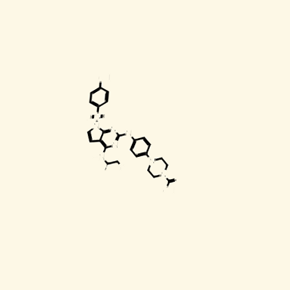 CC(=O)N1CCN(c2ccc(Nc3nc(N[C@H](C)CO)c4ccn(S(=O)(=O)c5ccc(C)cc5)c4n3)cc2)CC1